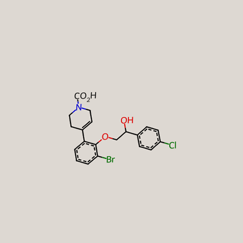 O=C(O)N1CC=C(c2cccc(Br)c2OCC(O)c2ccc(Cl)cc2)CC1